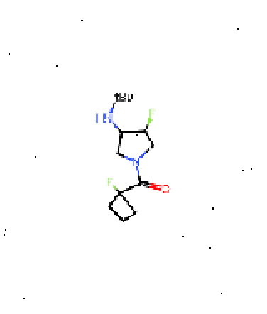 CC(C)(C)NC1CN(C(=O)C2(F)CCC2)C[C@@H]1F